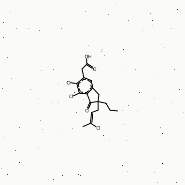 CCCC1(C/C=C(/C)Cl)Cc2cc(CC(=O)O)c(Cl)c(Cl)c2C1=O